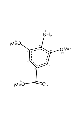 COC(=O)c1cc(OC)c(N)c(OC)c1